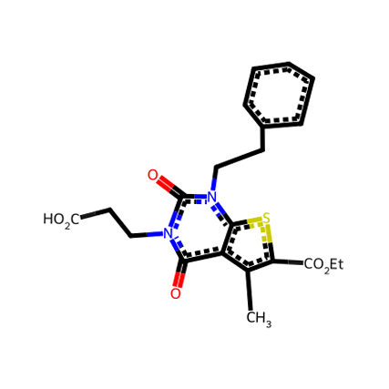 CCOC(=O)c1sc2c(c1C)c(=O)n(CCC(=O)O)c(=O)n2CCc1ccccc1